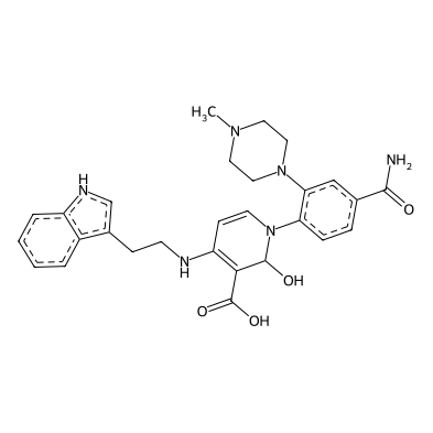 CN1CCN(c2cc(C(N)=O)ccc2N2C=CC(NCCc3c[nH]c4ccccc34)=C(C(=O)O)C2O)CC1